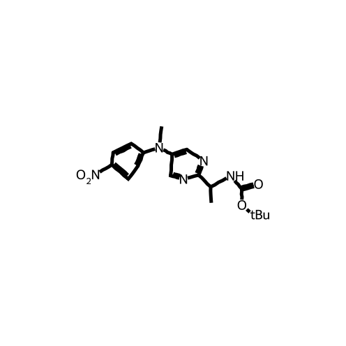 CC(NC(=O)OC(C)(C)C)c1ncc(N(C)c2ccc([N+](=O)[O-])cc2)cn1